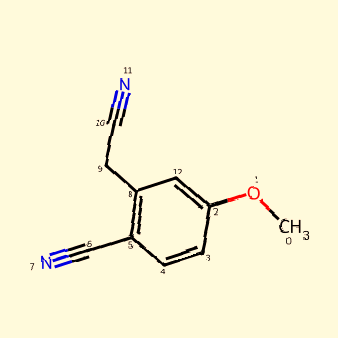 COc1ccc(C#N)c(CC#N)c1